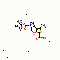 Cc1sc(C(=O)O)c2c1CC(N(C)C(=O)OC(C)(C)C)CO2